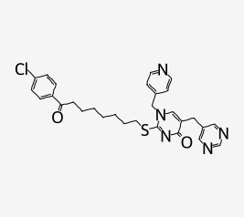 O=C(CCCCCCCSc1nc(=O)c(Cc2cncnc2)cn1Cc1ccncc1)c1ccc(Cl)cc1